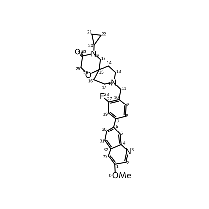 COc1cnc2cc(-c3ccc(CN4CCC5(CC4)CN(C4CC4)C(=O)CO5)c(F)c3)ccc2c1